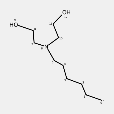 [CH2]CCCCCN(CCO)CCO